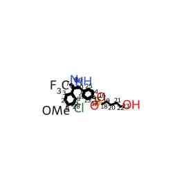 COc1ccc(-c2c(C(F)(F)F)n[nH]c2-c2ccc(S(=O)(=O)CCCCCO)cc2)cc1Cl